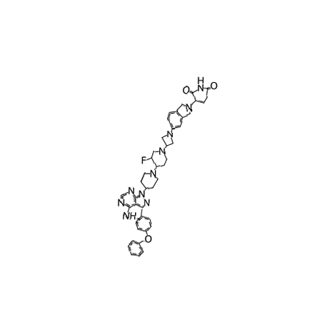 Nc1ncnc2c1c(-c1ccc(Oc3ccccc3)cc1)nn2C1CCN(C2CCN(C3CN(c4ccc5c(c4)CN(C4CCC(=O)NC4=O)C5)C3)CC2F)CC1